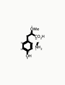 CN.COC(Cc1ccc(O)cc1)C(=O)O